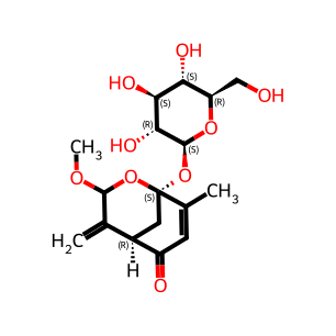 C=C1C(OC)O[C@]2(O[C@@H]3O[C@H](CO)[C@@H](O)[C@H](O)[C@H]3O)C[C@H]1C(=O)C=C2C